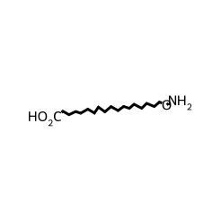 NOCCCCCCCCCCCCCCCCCC(=O)O